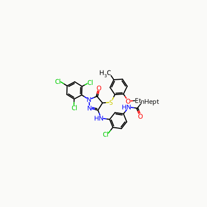 CCCCCCCC(=O)Nc1ccc(Cl)c(NC2=NN(c3c(Cl)cc(Cl)cc3Cl)C(=O)C2Sc2cc(C)ccc2OCC)c1